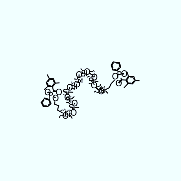 Cc1cc(C)c(C(=O)P(=O)(OCCC[Si](C)(C)O[Si](C)(C)O[Si](C)(C)O[Si](C)(C)O[Si](C)(C)O[Si](C)(C)O[Si](C)(C)O[Si](C)(C)O[Si](C)(C)O[Si](C)(C)O[Si](C)(C)O[Si](C)(C)CCCOP(=O)(C(=O)c2c(C)cc(C)cc2C)c2ccccc2)c2ccccc2)c(C)c1